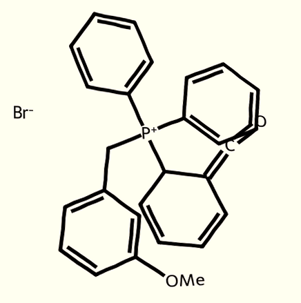 COc1cccc(C[P+](c2ccccc2)(c2ccccc2)C2C=CC=CC2=C=O)c1.[Br-]